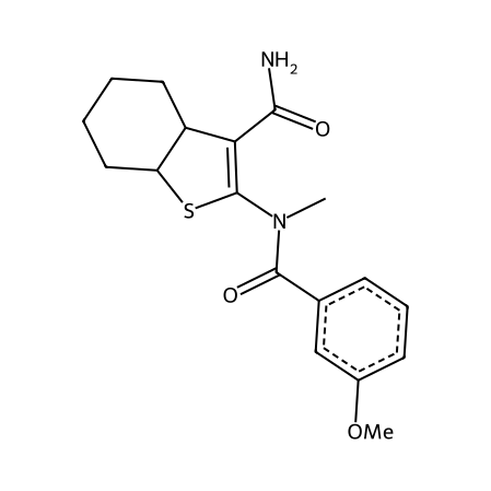 COc1cccc(C(=O)N(C)C2=C(C(N)=O)C3CCCCC3S2)c1